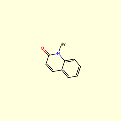 CC(C)n1c(=O)ccc2ccccc21